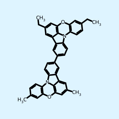 CCc1ccc2c(c1)Oc1cc(CC)cc3c4cc(-c5ccc6c(c5)c5cc(C)cc7c5n6-c5ccc(C)cc5O7)ccc4n-2c13